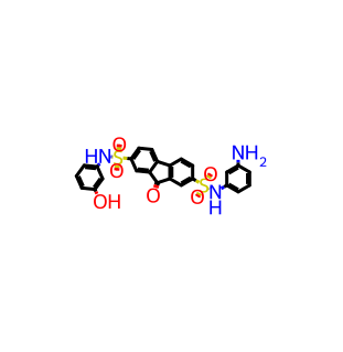 Nc1cccc(NS(=O)(=O)c2ccc3c(c2)C(=O)c2cc(S(=O)(=O)Nc4cccc(O)c4)ccc2-3)c1